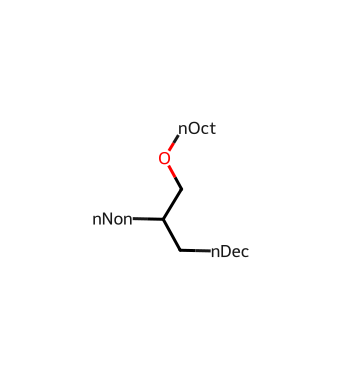 CCCCCCCCCCCC(CCCCCCCCC)COCCCCCCCC